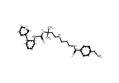 CC(C)(CCNCCCNC(=O)c1ccc(CN)cc1)OC(=O)Nc1ccccc1-c1ccccc1